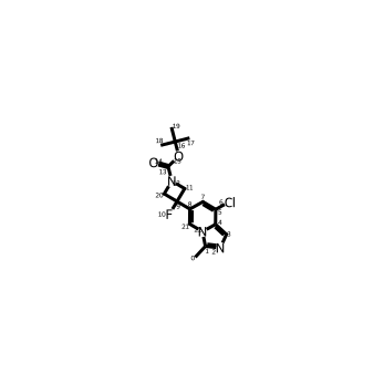 Cc1ncc2c(Cl)cc(C3(F)CN(C(=O)OC(C)(C)C)C3)cn12